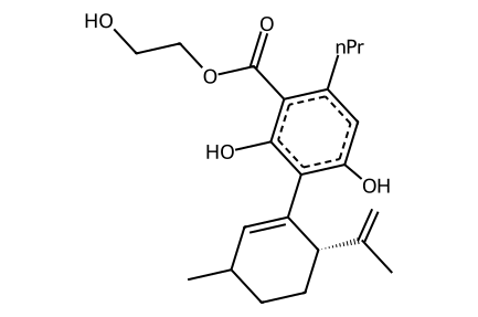 C=C(C)[C@@H]1CCC(C)C=C1c1c(O)cc(CCC)c(C(=O)OCCO)c1O